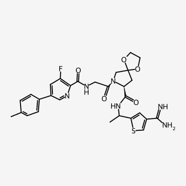 Cc1ccc(-c2cnc(C(=O)NCC(=O)N3CC4(C[C@H]3C(=O)NC(C)c3cc(C(=N)N)cs3)OCCO4)c(F)c2)cc1